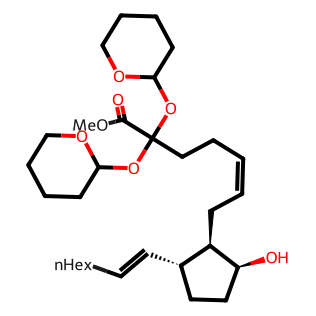 CCCCCC/C=C/[C@H]1CC[C@H](O)[C@@H]1C/C=C\CCC(OC1CCCCO1)(OC1CCCCO1)C(=O)OC